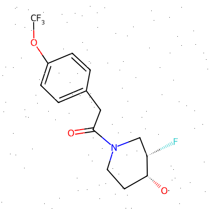 [O][C@@H]1CCN(C(=O)Cc2ccc(OC(F)(F)F)cc2)C[C@@H]1F